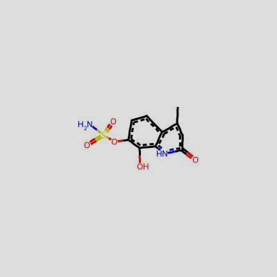 Cc1cc(=O)[nH]c2c(O)c(OS(N)(=O)=O)ccc12